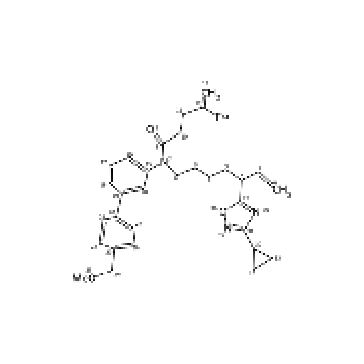 C=CC(CCCCN(C(=O)CCC(=C)F)c1cccc(-c2ccc(COC)cc2)c1)c1nc(C2CC2)no1